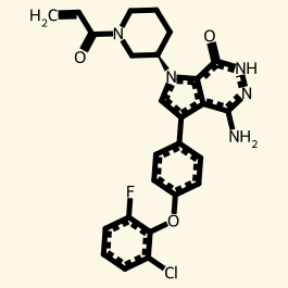 C=CC(=O)N1CCC[C@@H](n2cc(-c3ccc(Oc4c(F)cccc4Cl)cc3)c3c(N)n[nH]c(=O)c32)C1